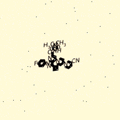 CN(C)S(=O)(=O)NC(=O)c1cc(N2CCC(N3CCCC(C#N)C3)CC2)c2c(C3CCC3)nn(-c3ccc(F)cc3)c2n1